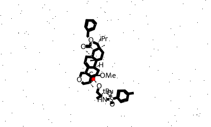 CO[C@@H]1C[C@@]23COC[C@@](C)([C@@H]2CC[C@H]2C3=CC[C@@]3(C)[C@H](C(=O)OCc4ccccc4)[C@@](C)([C@H](C)C(C)C)CC[C@]23C)[C@H]1OC[C@](C)(NS(=O)(=O)c1ccc(C)cc1)C(C)(C)C